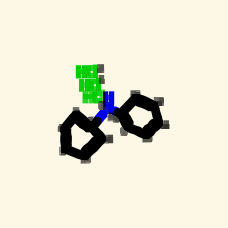 Cl.Cl.Cl.c1ccc(Nc2ccccc2)cc1